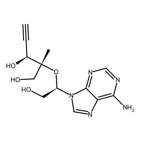 C#C[C@H](O)[C@@](C)(CO)O[C@H](CO)n1cnc2c(N)ncnc21